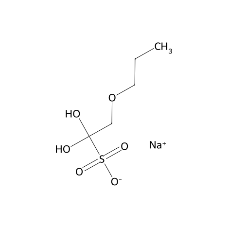 CCCOCC(O)(O)S(=O)(=O)[O-].[Na+]